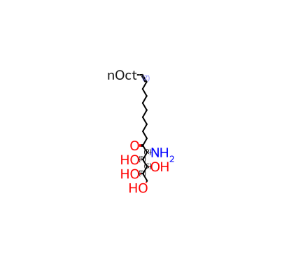 CCCCCCCC/C=C\CCCCCCCCC(=O)[C@H](N)[C@@H](O)[C@H](O)[C@H](O)CO